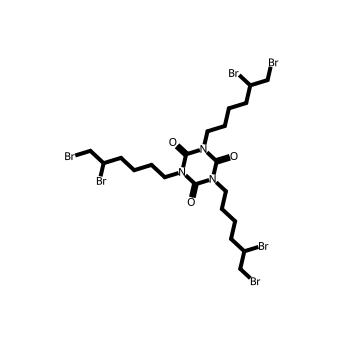 O=c1n(CCCCC(Br)CBr)c(=O)n(CCCCC(Br)CBr)c(=O)n1CCCCC(Br)CBr